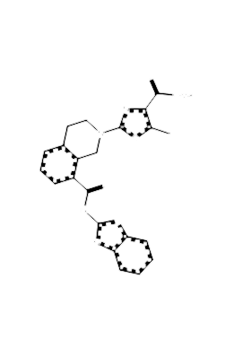 COC(=O)c1nc(N2CCc3cccc(C(=O)Nc4nc5ccccc5s4)c3C2)sc1I